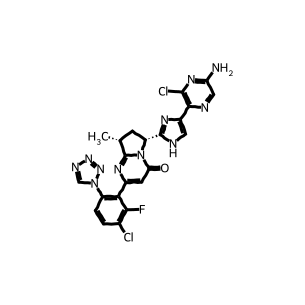 C[C@@H]1C[C@H](c2nc(-c3ncc(N)nc3Cl)c[nH]2)n2c1nc(-c1c(-n3cnnn3)ccc(Cl)c1F)cc2=O